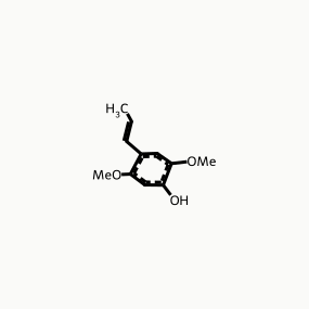 CC=Cc1cc(OC)c(O)cc1OC